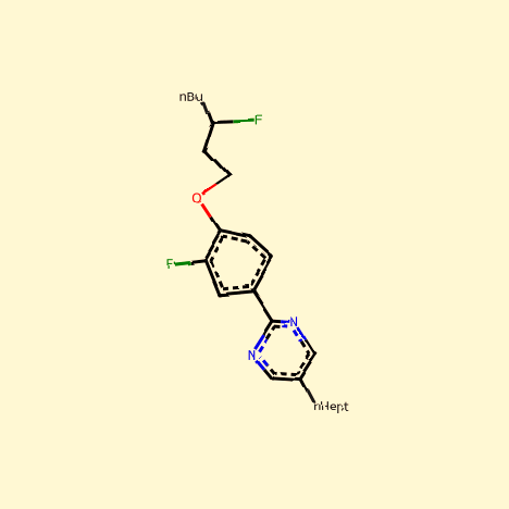 CCCCCCCc1cnc(-c2ccc(OCCC(F)CCCC)c(F)c2)nc1